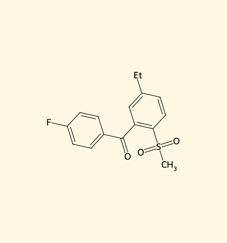 CCc1ccc(S(C)(=O)=O)c(C(=O)c2ccc(F)cc2)c1